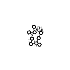 CC1(C)c2ccccc2-c2c1ccc1c2c2ccccc2n1-c1ccc2c(c1)oc1cccc(-c3nc(-c4ccc(-c5ccccc5)cc4)c4ccccc4n3)c12